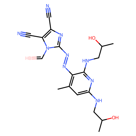 B=Cn1c(N=Nc2c(C)cc(NCC(C)O)nc2NCC(C)O)nc(C#N)c1C#N